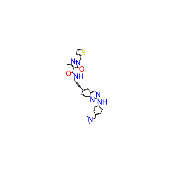 Cc1c(C(=O)NCC#Cc2ccc3nc(Nc4ccc(CN(C)C)cc4)ncc3c2)c(=O)n(Cc2cccs2)n1C